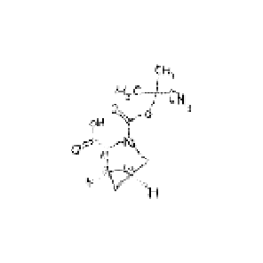 CC(C)(C)OC(=O)N1C[C@H]2C[C@H]2[C@@H]1C(=O)O